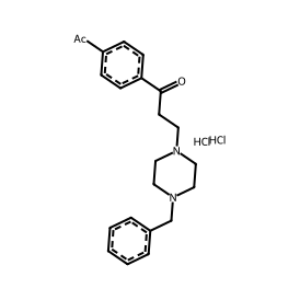 CC(=O)c1ccc(C(=O)CCN2CCN(Cc3ccccc3)CC2)cc1.Cl.Cl